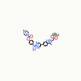 CC(NCC(=O)OC(C)(C)C)c1ccc(-c2cnc(Nc3ccc(OC(=O)N4CCN(C)CC4)cc3)nc2)cc1